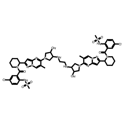 Cc1cn2nc(C3CCCCN3C(=O)c3cc(Cl)ccc3NS(C)(=O)=O)cc2nc1N1CC(O)C(NCCNC2CN(c3nc4cc(C5CCCCN5C(=O)c5cc(Cl)ccc5NS(C)(=O)=O)nn4cc3C)CC2O)C1